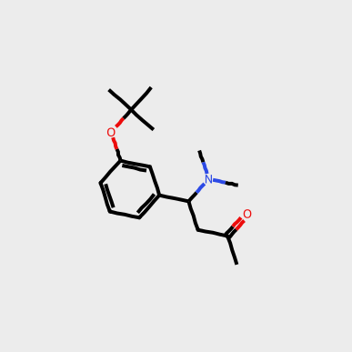 CC(=O)CC(c1cccc(OC(C)(C)C)c1)N(C)C